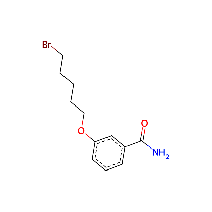 NC(=O)c1cccc(OCCCCCBr)c1